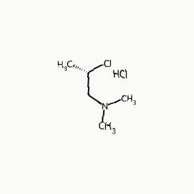 C[C@H](Cl)CN(C)C.Cl